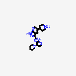 c1cc(N2CCCCC2)c2nc(-c3n[nH]c4ncc(C5CCNCC5)cc34)[nH]c2n1